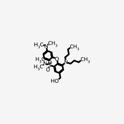 CCCCN(CCCC)c1cc(CO)cc(S(=O)(=O)N(C)C)c1Oc1cccc(N(C)C)c1